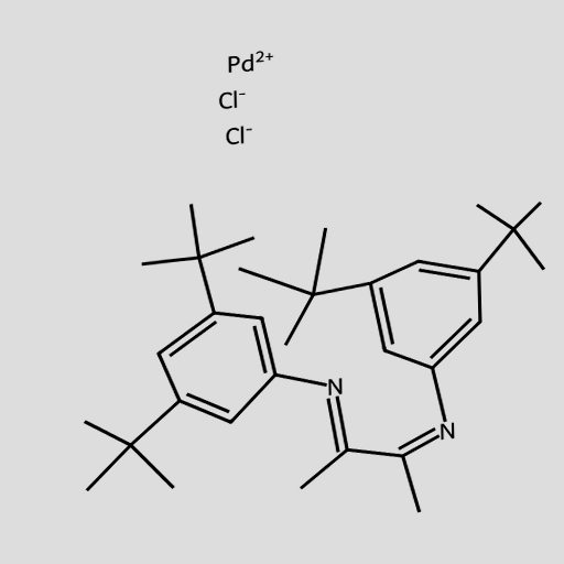 CC(=Nc1cc(C(C)(C)C)cc(C(C)(C)C)c1)C(C)=Nc1cc(C(C)(C)C)cc(C(C)(C)C)c1.[Cl-].[Cl-].[Pd+2]